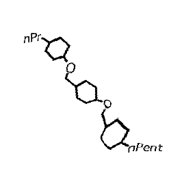 CCCCCC1CCC(COC2CCC(COC3CCC(CCC)CC3)CC2)CC1